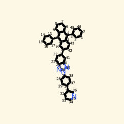 c1ccc(-c2c3ccccc3c(-c3ccccc3)c3cc(-c4ccc5nn(-c6ccc(-c7cccnc7)cc6)nc5c4)ccc23)cc1